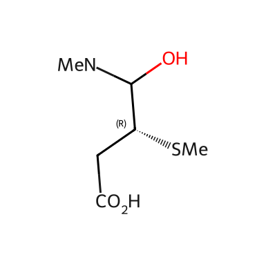 CNC(O)[C@@H](CC(=O)O)SC